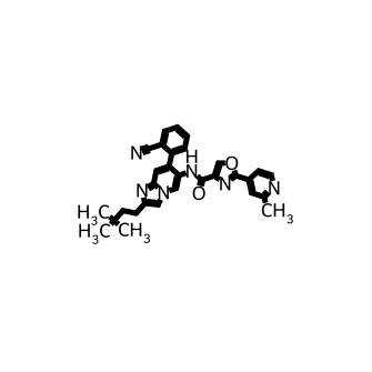 Cc1cc(-c2nc(C(=O)Nc3cn4cc(CCC(C)(C)C)nc4cc3-c3ccccc3C#N)co2)ccn1